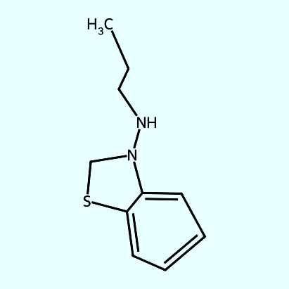 CCCNN1CSc2ccccc21